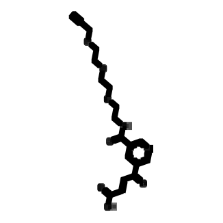 C#CCOCCOCCOCCNC(=O)c1cncc(C(=O)/C=C/C(=O)O)c1